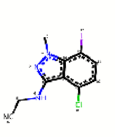 Cn1nc(NCC#N)c2c(Cl)ccc(I)c21